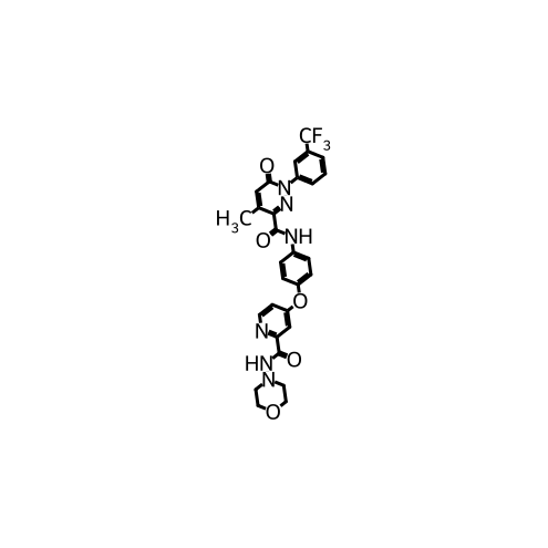 Cc1cc(=O)n(-c2cccc(C(F)(F)F)c2)nc1C(=O)Nc1ccc(Oc2ccnc(C(=O)NN3CCOCC3)c2)cc1